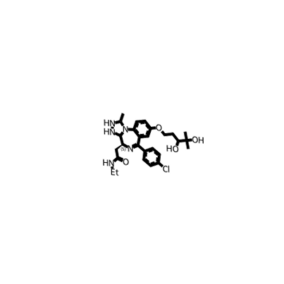 CCNC(=O)C[C@@H]1N=C(c2ccc(Cl)cc2)c2cc(OCCC(O)C(C)(C)O)ccc2N2C(C)NNC12